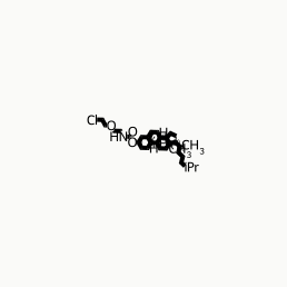 CC(C)CCC[C@@H](C)[C@H]1CC[C@H]2[C@@H]3CC=C4C[C@@H](OC(=O)NCCOCCCl)CC[C@]4(C)[C@H]3CC[C@]12C